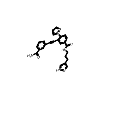 NC(=O)c1cccc(C#Cc2cc(C(=O)NCCCc3cn[nH]c3)ccc2-n2cccn2)c1